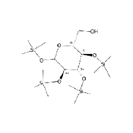 C[Si](C)(C)OC1O[C@H](CO)[C@@H](O[Si](C)(C)C)[C@H](O[Si](C)(C)C)[C@H]1O[Si](C)(C)C